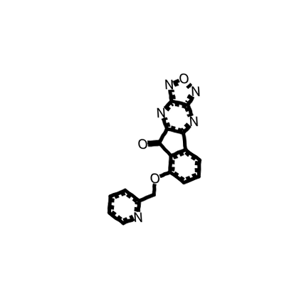 O=C1c2nc3nonc3nc2-c2cccc(OCc3ccccn3)c21